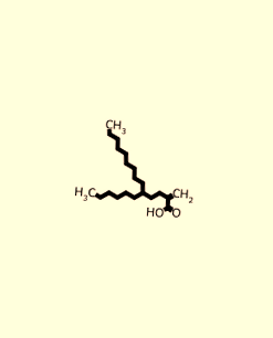 C=C(CCC(CCCCCC)CCCCCCCCC)C(=O)O